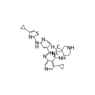 CC1(C)CNCCC1Nc1nc(-c2ccnc(Nc3nc(C4CC4)cs3)c2)nc2cncc(C3CC3)c12